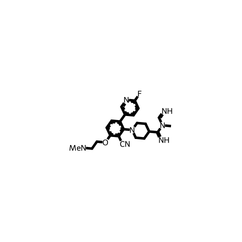 CNCCOc1ccc(-c2ccc(F)nc2)c(N2CCC(C(=N)N(C)C=N)CC2)c1C#N